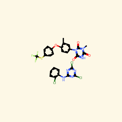 Cc1cc(-n2c(=O)[nH]c(=O)n(C)c2=O)ccc1Oc1ccc(SC(F)(F)F)cc1.Clc1nc(Cl)nc(Nc2ccccc2Cl)n1